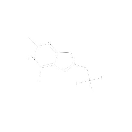 CC1N=c2sc(CC(F)(F)F)cc2=C(Cl)N1